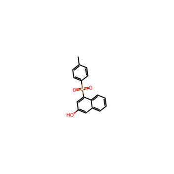 Cc1ccc(S(=O)(=O)c2cc(O)cc3ccccc23)cc1